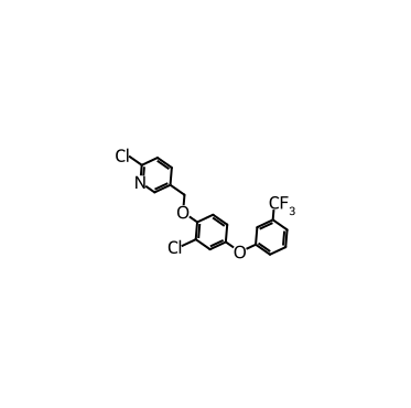 FC(F)(F)c1cccc(Oc2ccc(OCc3ccc(Cl)nc3)c(Cl)c2)c1